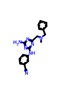 CN(Cc1ccccc1)Cc1nc(N)nc(Nc2cccc(C#N)c2)n1